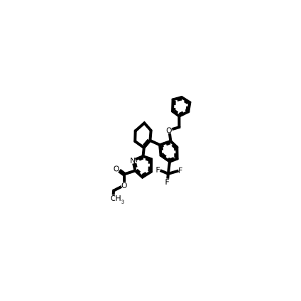 CCOC(=O)c1cccc(C2=C(c3cc(C(F)(F)F)ccc3OCc3ccccc3)CCCC2)n1